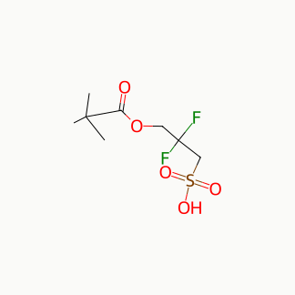 CC(C)(C)C(=O)OCC(F)(F)CS(=O)(=O)O